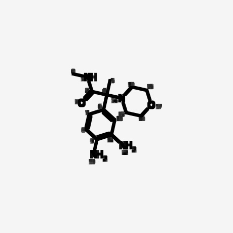 CNC(=O)C(C)(c1ccc(N)c(N)c1)N1CCOCC1